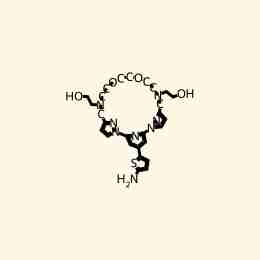 Nc1ccc(-c2cc3nc(c2)-n2ccc(n2)CN(CCO)CCOCCOCCN(CCO)Cc2ccn-3n2)s1